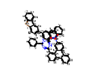 c1ccc(-c2nc(-c3ccccc3)nc(-c3cccc4c5ccccc5c5ccc(-n6c7ccccc7c7cc(-c8ccc9sc%10ccccc%10c9c8)ccc76)cc5c34)n2)cc1